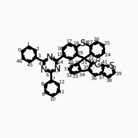 c1ccc(-c2nc(-c3ccccc3)nc(-c3ccc4c(c3)C3(c5ccccc5S4)c4ccccc4-c4cc5ccsc5cc43)n2)cc1